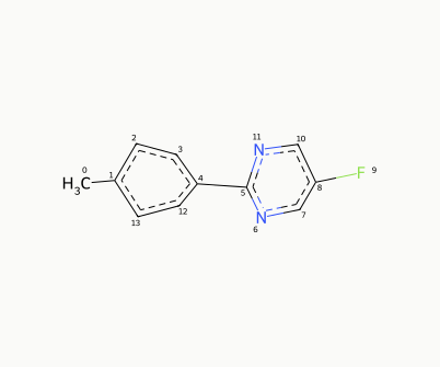 Cc1ccc(-c2ncc(F)cn2)cc1